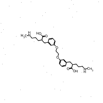 CNCCCC(Cc1cccc(OCCOc2cccc(CC(CCCNC)C(=O)O)c2)c1)C(=O)O